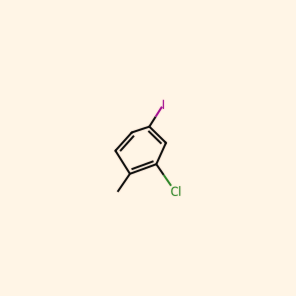 Cc1ccc(I)cc1Cl